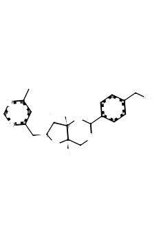 Cc1cc(C[C@@H]2O[C@H]3COC(c4ccc(CO)cc4)O[C@H]3[C@H]2O)ncn1